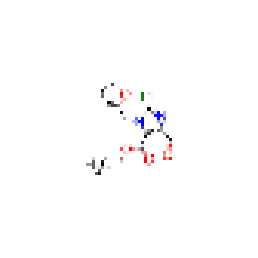 CCOC(=O)c1c(C=O)nc(Cl)n1CC1=CCCO1